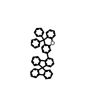 c1ccc(C2(c3ccccc3)c3ccccc3Oc3cc(-c4cccc5c4-c4ccccc4C54c5ccccc5-c5ccccc54)ccc32)cc1